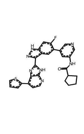 O=C(Nc1cncc(-c2cc3c(-c4nc5c(-c6cccs6)ccnc5[nH]4)n[nH]c3cc2F)c1)C1CCCC1